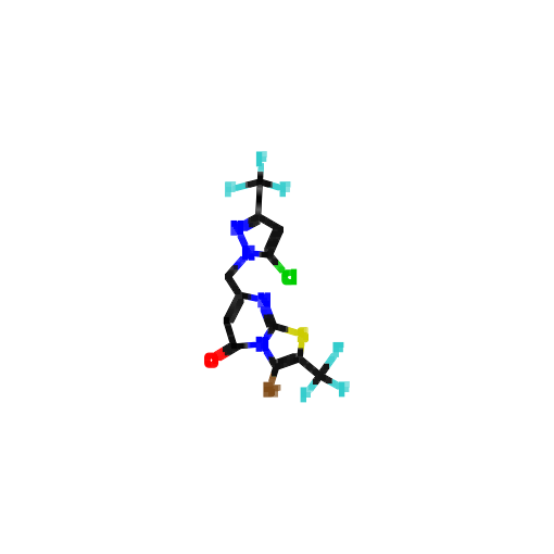 O=c1cc(Cn2nc(C(F)(F)F)cc2Cl)nc2sc(C(F)(F)F)c(Br)n12